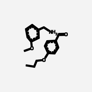 CCCOc1ccc(C=O)cc1.COc1cccc(CN)c1